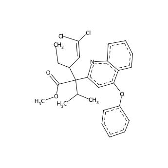 CCC(C=C(Cl)Cl)C(C(=O)OC)(c1cc(Oc2ccccc2)c2ccccc2n1)C(C)C